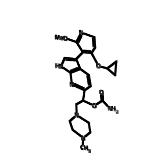 COc1nccc(OC2CC2)c1-c1c[nH]c2nc(C(CN3CCN(C)CC3)OC(N)=O)ccc12